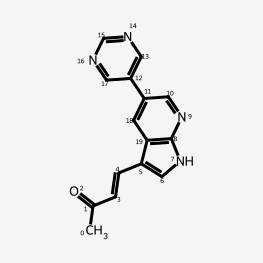 CC(=O)/C=C/c1c[nH]c2ncc(-c3cncnc3)cc12